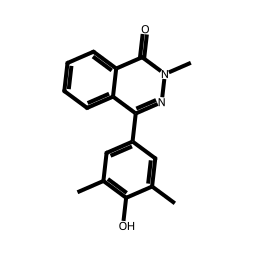 Cc1cc(-c2nn(C)c(=O)c3ccccc23)cc(C)c1O